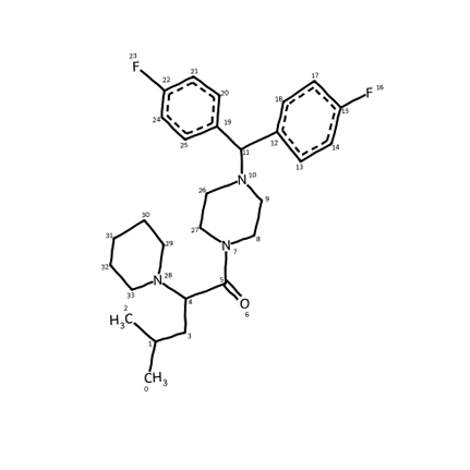 CC(C)CC(C(=O)N1CCN(C(c2ccc(F)cc2)c2ccc(F)cc2)CC1)N1CCCCC1